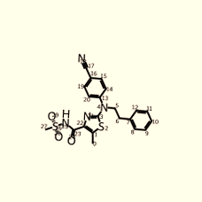 Cc1sc(N(CCc2ccccc2)c2ccc(C#N)cc2)nc1C(=O)NS(C)(=O)=O